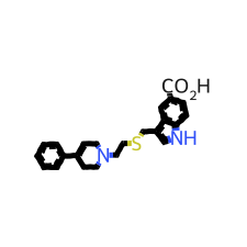 O=C(O)c1ccc2[nH]cc(CSCCN3CC=C(c4ccccc4)CC3)c2c1